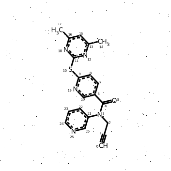 C#CCN(C(=O)c1ccc(Sc2nc(C)cc(C)n2)nc1)c1cccnc1